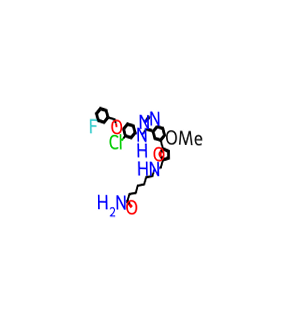 COc1cc2ncnc(Nc3ccc(OCc4cccc(F)c4)c(Cl)c3)c2cc1-c1ccc(CNCCCCCCC(N)=O)o1